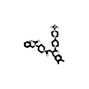 Cc1ccc(CC(CC(=O)N2CCC(N3Cc4ccccc4NC3=O)CC2)C(=O)N2CCC(N3CCN(S(C)(=O)=O)CC3)CC2)cc1C